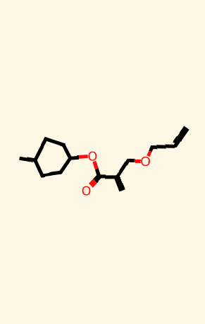 C=CCOCC(=C)C(=O)OC1CCC(C)CC1